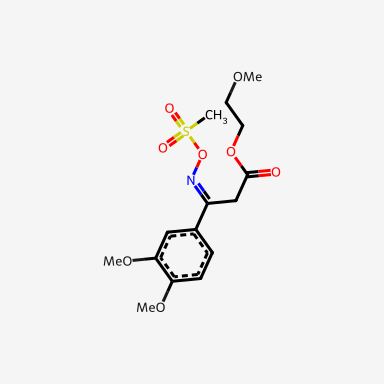 COCCOC(=O)CC(=NOS(C)(=O)=O)c1ccc(OC)c(OC)c1